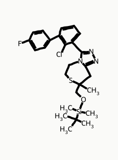 CC1(CO[Si](C)(C)C(C)(C)C)Cc2nnc(-c3cccc(-c4ccc(F)cc4)c3Cl)n2CCS1